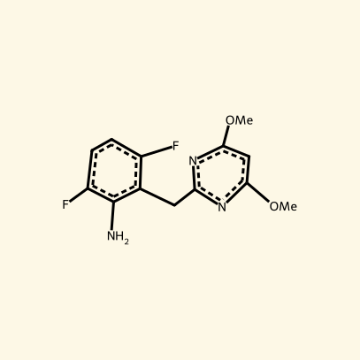 COc1cc(OC)nc(Cc2c(F)ccc(F)c2N)n1